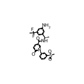 C[C@@H](NC(=O)c1ccc(=O)n(-c2cccc(S(C)(=O)=O)c2)c1)c1cc(N)cc(C(C)(F)F)c1